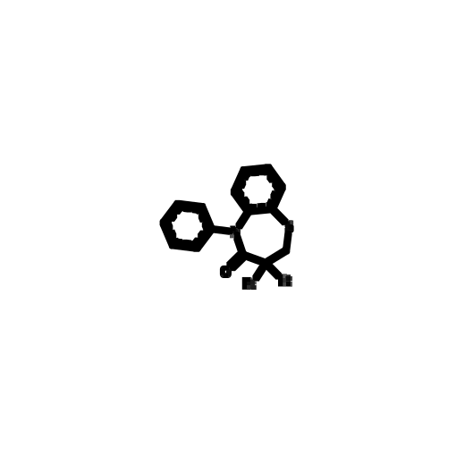 CCC1(CC)CSc2ccccc2N(c2ccccc2)C1=O